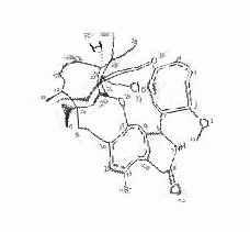 COc1ccccc1C1NC(=O)c2c(Br)cc3c(c21)O[C@@]12CC(Cl)C(=O)C(C)(C)[C@@H]1CC[C@H](C)[C@@]2(C)C3